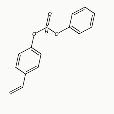 C=Cc1ccc(O[PH](=O)Oc2ccccc2)cc1